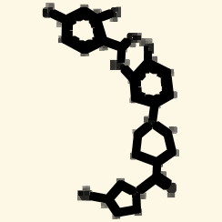 CC(Nc1cc(N2CCC(C(=O)N3CCC(C#N)C3)CC2)ccc1Cl)c1ccc(Cl)cc1Cl